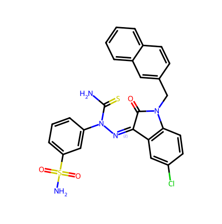 NC(=S)N(/N=C1\C(=O)N(Cc2ccc3ccccc3c2)c2ccc(Cl)cc21)c1cccc(S(N)(=O)=O)c1